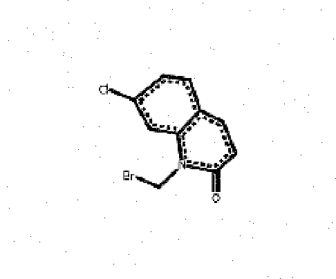 O=c1ccc2ccc(Cl)cc2n1CBr